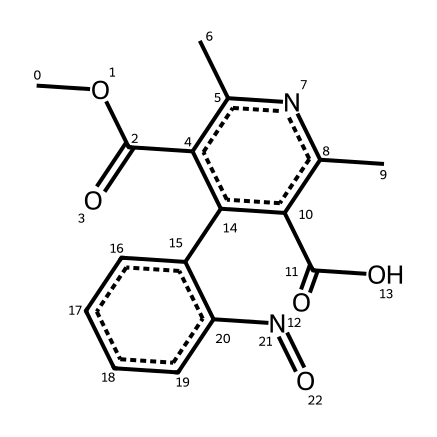 COC(=O)c1c(C)nc(C)c(C(=O)O)c1-c1ccccc1N=O